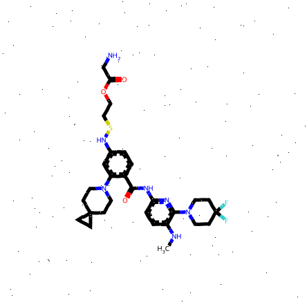 CNc1ccc(NC(=O)c2ccc(NSCCOC(=O)CN)cc2N2CCC3(CC2)CC3)nc1N1CCC(F)(F)CC1